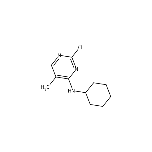 Cc1cnc(Cl)nc1NC1CCCCC1